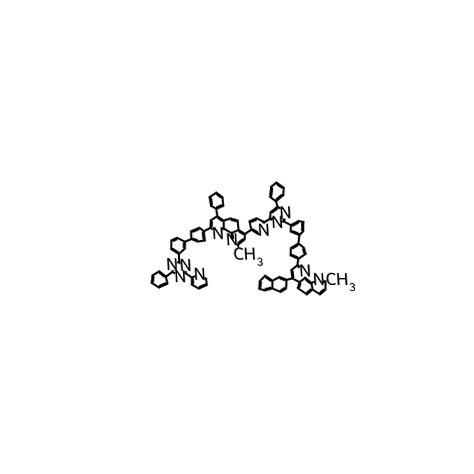 Cc1ccc2ccc3c(-c4ccc5ccccc5c4)cc(-c4ccc(-c5cccc(-c6nc(-c7ccccc7)cc(-c7ccc(-c8cc(C)nc9c8ccc8c(-c%10ccccc%10)cc(-c%10ccc(-c%11cccc(-c%12nc(-c%13ccccc%13)nc(-c%13ccccn%13)n%12)c%11)cc%10)nc89)cn7)n6)c5)cc4)nc3c2n1